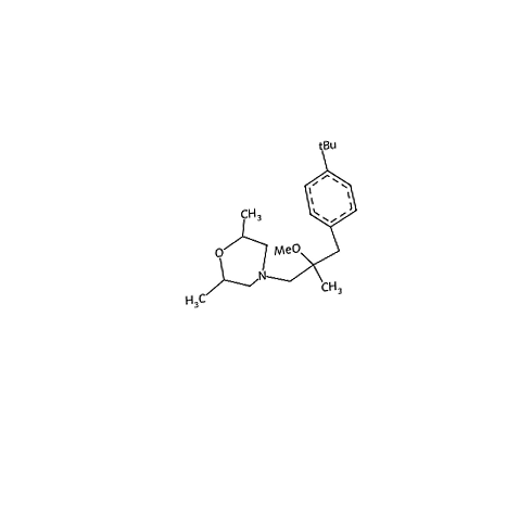 COC(C)(Cc1ccc(C(C)(C)C)cc1)CN1CC(C)OC(C)C1